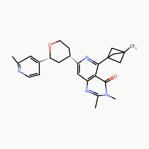 Cc1cc([C@H]2C[C@@H](c3cc4nc(C)n(C)c(=O)c4c(C45CC(C(F)(F)F)(C4)C5)n3)CCO2)ccn1